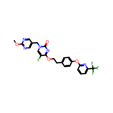 COc1ncc(Cn2cc(F)c(OCCc3ccc(Oc4cccc(C(F)(F)F)n4)cc3)nc2=O)cn1